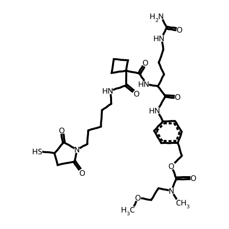 COCCN(C)C(=O)OCc1ccc(NC(=O)C(CCCNC(N)=O)NC(=O)C2(C(=O)NCCCCCN3C(=O)CC(S)C3=O)CCC2)cc1